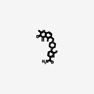 Cc1nc2ccc(CN3CCN(c4ccc(C(N)=O)nc4F)CC3)c(C)c2[nH]c1=O